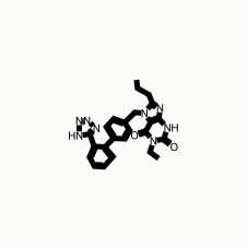 CCCc1nc2[nH]c(=O)n(CC)c(=O)c2n1Cc1ccc(-c2ccccc2-c2nnn[nH]2)cc1